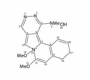 CNc1nncc2c1=C1C3=C(C=C(OC)[N+]1(OC)C=2)CCC=C3.Cl